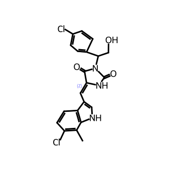 Cc1c(Cl)ccc2c(/C=C3\NC(=O)N(C(CO)c4ccc(Cl)cc4)C3=O)c[nH]c12